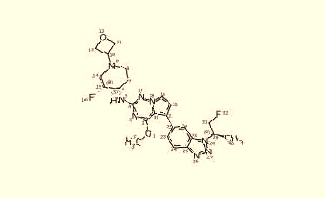 COc1nc(N[C@H]2CCN(C3COC3)C[C@H]2F)nn2ccc(-c3ccc4nnn([C@H](C)CF)c4c3)c12